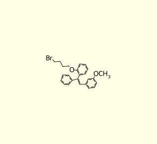 COc1cccc(/C=C(/c2ccccc2)c2ccccc2OCCCCBr)c1